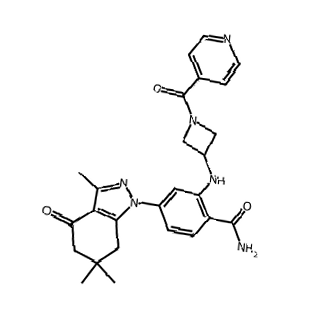 Cc1nn(-c2ccc(C(N)=O)c(NC3CN(C(=O)c4ccncc4)C3)c2)c2c1C(=O)CC(C)(C)C2